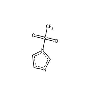 O=S(=O)(n1ccnc1)C(F)(F)F